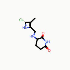 CC1=C(CNC2CCC(=O)NC2=O)N[C@@H]1Cl